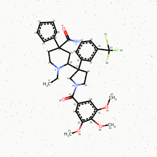 CCN1CCC(C(N)=O)(c2ccccc2)CC1C1(c2cccc(C(F)(F)F)c2)CCN(C(=O)c2cc(OC)c(OC)c(OC)c2)C1